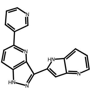 c1cncc(-c2ccc3[nH]nc(-c4cc5ncccc5[nH]4)c3n2)c1